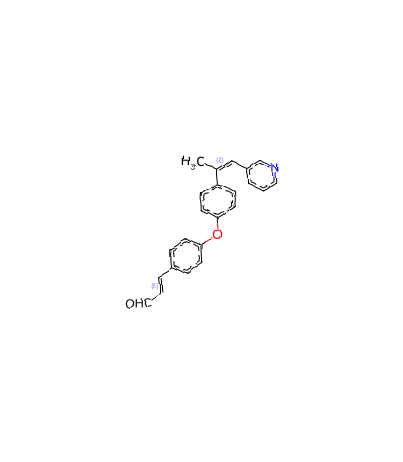 C/C(=C/c1cccnc1)c1ccc(Oc2ccc(/C=C/C=O)cc2)cc1